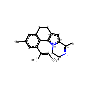 CCCCc1cc2c(c(C(=CC(=O)O)C(=O)O)c1)-c1c(cc3n1CCN=C3C)CC2